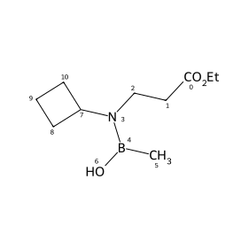 CCOC(=O)CCN(B(C)O)C1CCC1